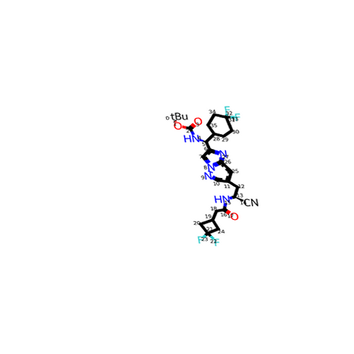 CC(C)(C)OC(=O)N[C@H](c1cn2ncc(C[C@@H](C#N)NC(=O)CC3CC(F)(F)C3)cc2n1)C1CCC(F)(F)CC1